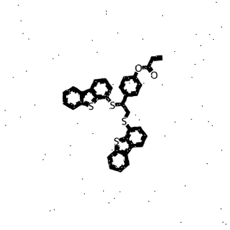 C=CC(=O)Oc1ccc(C(CSc2cccc3c2sc2ccccc23)Sc2cccc3c2sc2ccccc23)cc1